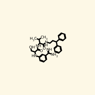 CC(C)C(NC(=O)C(CO)Nc1cccc(C(=N)N)c1)C(=O)NCCC(c1ccccc1)c1ccccc1